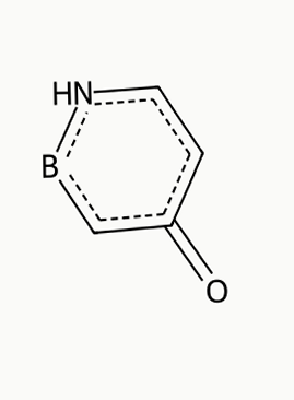 O=c1cb[nH]cc1